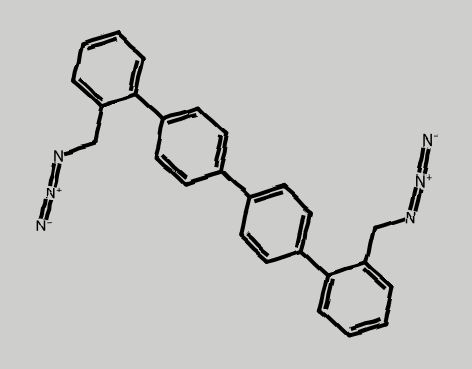 [N-]=[N+]=NCc1ccccc1-c1ccc(-c2ccc(-c3ccccc3CN=[N+]=[N-])cc2)cc1